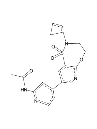 CC(=O)Nc1cc(-c2cnc3c(c2)S(=O)(=O)N(C2=C=CC2)CCO3)ccn1